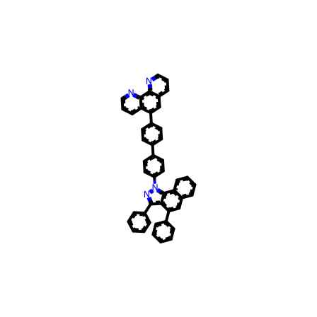 c1ccc(-c2cc3ccccc3c3c2c(-c2ccccc2)nn3-c2ccc(-c3ccc(-c4cc5cccnc5c5ncccc45)cc3)cc2)cc1